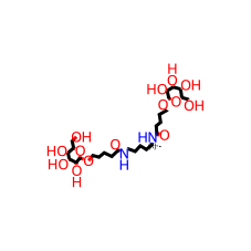 C[C@H](CCCCNC(=O)CCCCOC1OC(CO)C(O)C(O)C1O)NC(=O)CCCCOC1OC(CO)C(O)C(O)C1O